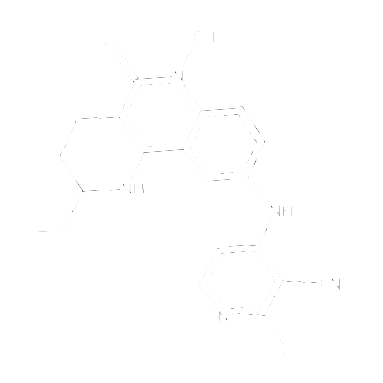 CC1CCc2c(c3cc(Nc4ccnc(Cl)c4C#N)ccc3n(C)c2=O)N1